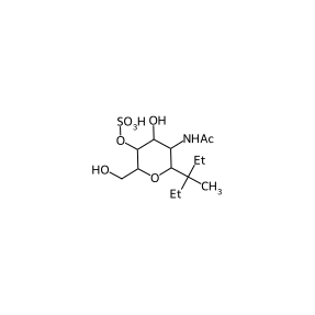 CCC(C)(CC)C1OC(CO)C(OS(=O)(=O)O)C(O)C1NC(C)=O